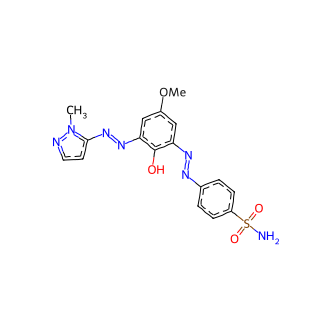 COc1cc(/N=N/c2ccc(S(N)(=O)=O)cc2)c(O)c(/N=N/c2ccnn2C)c1